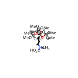 CO[Si](OC)(OC)O[Si](CCCN(C)C(=O)O)(O[Si](OC)(OC)OC)O[Si](OC)(OC)OC